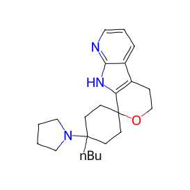 CCCCC1(N2CCCC2)CCC2(CC1)OCCc1c2[nH]c2ncccc12